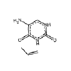 C=CC.Nc1c[nH]c(=O)[nH]c1=O